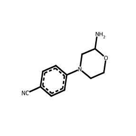 N#Cc1ccc(N2CCOC(N)C2)cc1